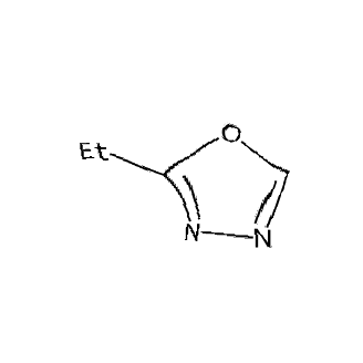 CCc1nnco1